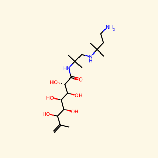 C=C(C)C(O)[C@H](O)[C@@H](O)[C@H](O)[C@H](O)C(=O)NC(C)(C)CNC(C)(C)CCN